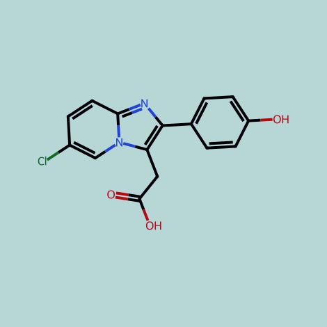 O=C(O)Cc1c(-c2ccc(O)cc2)nc2ccc(Cl)cn12